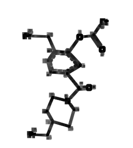 CCC(=O)Oc1cc(C(=O)N2CCC(CC(C)C)CC2)ccc1CC(C)C